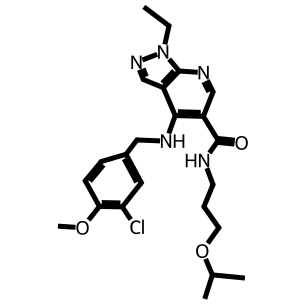 CCn1ncc2c(NCc3ccc(OC)c(Cl)c3)c(C(=O)NCCCOC(C)C)cnc21